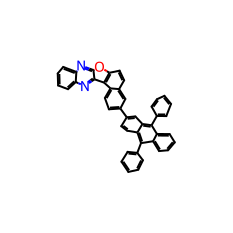 c1ccc(-c2c3ccccc3c(-c3ccccc3)c3cc(-c4ccc5c(ccc6oc7nc8ccccc8nc7c65)c4)ccc23)cc1